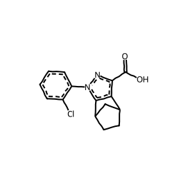 O=C(O)c1nn(-c2ccccc2Cl)c2c1C1CCC2C1